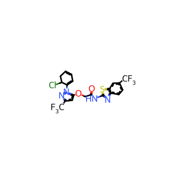 O=C(COc1cc(C(F)(F)F)nn1C1=CC=CCC1Cl)Nc1nc2ccc(C(F)(F)F)cc2s1